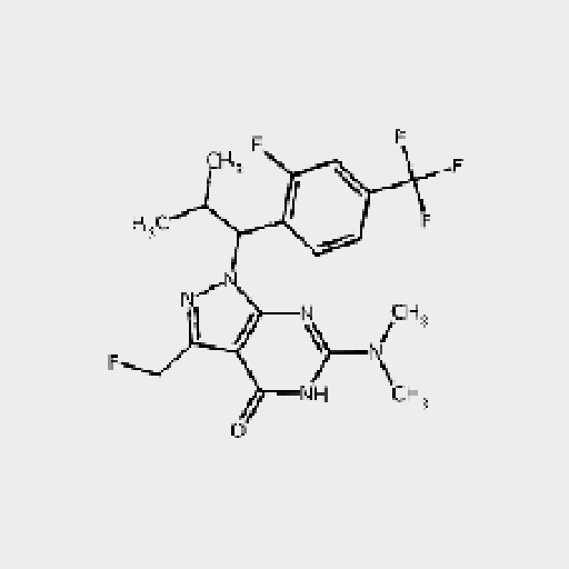 CC(C)C(c1ccc(C(F)(F)F)cc1F)n1nc(CF)c2c(=O)[nH]c(N(C)C)nc21